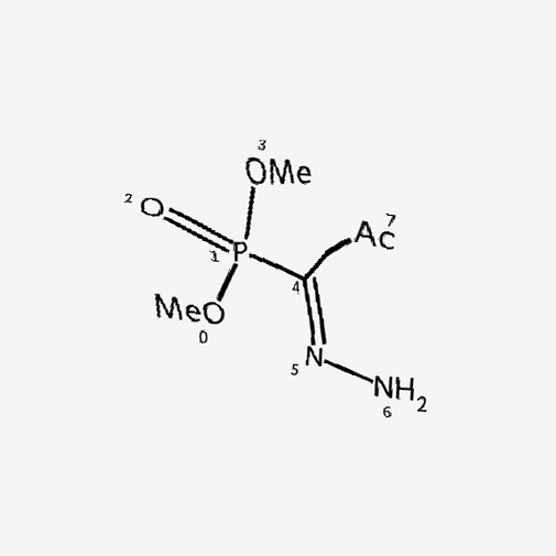 COP(=O)(OC)C(=NN)C(C)=O